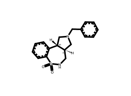 O=S1(=O)NC[C@@H]2CN(Cc3ccccc3)C[C@H]2c2ccccc21